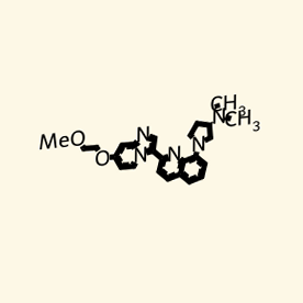 COCCOc1ccn2c(-c3ccc4cccc(N5CC[C@H](N(C)C)C5)c4n3)cnc2c1